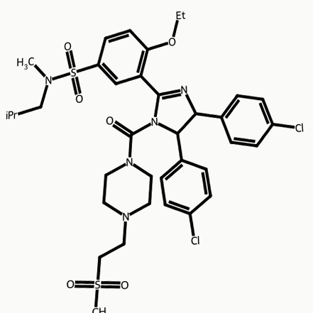 CCOc1ccc(S(=O)(=O)N(C)CC(C)C)cc1C1=NC(c2ccc(Cl)cc2)C(c2ccc(Cl)cc2)N1C(=O)N1CCN(CCS(C)(=O)=O)CC1